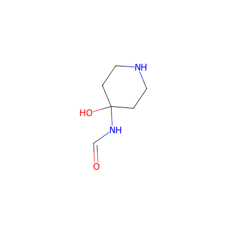 O=CNC1(O)CCNCC1